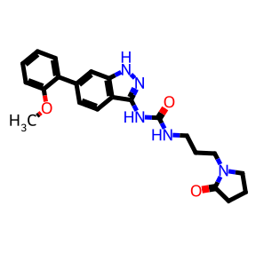 COc1ccccc1-c1ccc2c(NC(=O)NCCCN3CCCC3=O)n[nH]c2c1